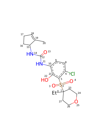 CCC1(S(=O)(=O)c2c(Cl)ccc(NC(=O)NC3CCC=C3C)c2O)CCOCC1